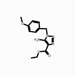 CCOC(=O)c1nnn(Cc2ccc(OC)cc2)c1N